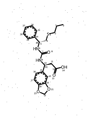 CCCSC[C@H](NC(=O)N[C@@H](CC(=O)O)c1ccc2c(c1)OCO2)c1ccccc1